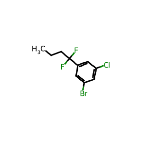 CCCC(F)(F)c1cc(Cl)cc(Br)c1